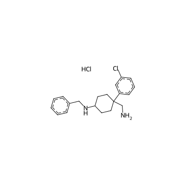 Cl.NCC1(c2cccc(Cl)c2)CCC(NCc2ccccc2)CC1